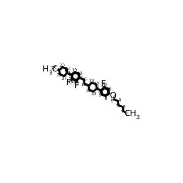 CCCCCCOc1ccc(C2CCC(CCc3ccc(C4=CCC(C)CC4)c(F)c3F)CC2)c(F)c1